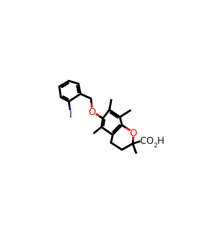 Cc1c(C)c2c(c(C)c1OCc1ccccc1I)CCC(C)(C(=O)O)O2